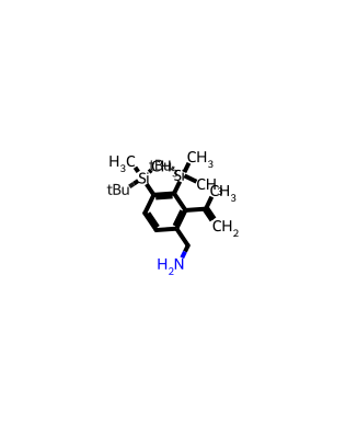 C=C(C)c1c(CN)ccc([Si](C)(C)C(C)(C)C)c1[Si](C)(C)C(C)(C)C